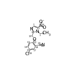 CCn1c([N+](=O)[O-])cnc1COc1ccc(Cl)cc1C#N